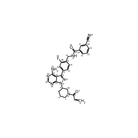 C=CC(=O)N1CCC[C@@H](n2nc(-c3ccc(CNC(=O)c4cccc(C#N)c4)c(F)c3)c3c(N)ncnc32)C1